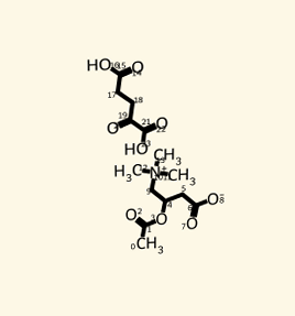 CC(=O)OC(CC(=O)[O-])C[N+](C)(C)C.O=C(O)CCC(=O)C(=O)O